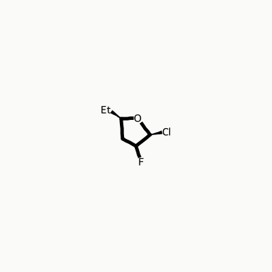 CC[C@@H]1CC(F)[C@H](Cl)O1